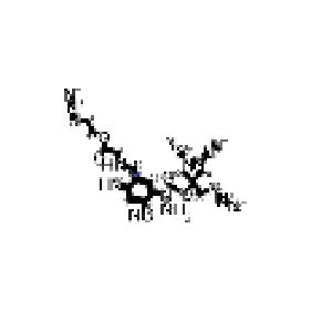 [N-]=[N+]=NCCOC(=O)CN/C=C1/C=C(N(N)C(=O)OC(CN=[N+]=[N-])(CN=[N+]=[N-])CN=[N+]=[N-])C(N=O)=CC1=N